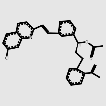 C=C(C)c1ccccc1CC[C@H](OC(C)=O)c1cccc(C=Cc2ccc3ccc(Cl)cc3n2)c1